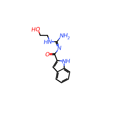 NC(=NC(=O)c1cc2ccccc2[nH]1)NCCO